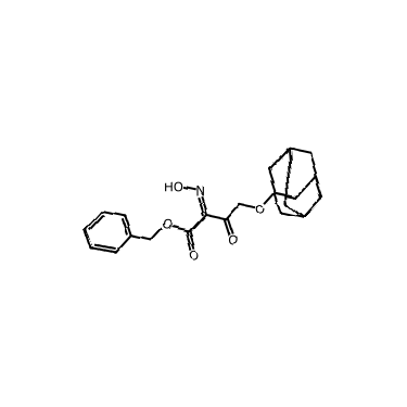 O=C(COC12CC3CC(CC(C3)C1)C2)C(=NO)C(=O)OCc1ccccc1